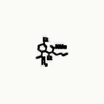 C=CCCC(C(=C)NC)C(CC)c1cc(CC)ccc1C(=C)N